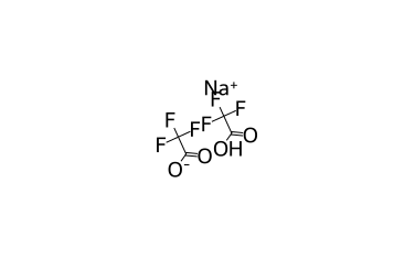 O=C(O)C(F)(F)F.O=C([O-])C(F)(F)F.[Na+]